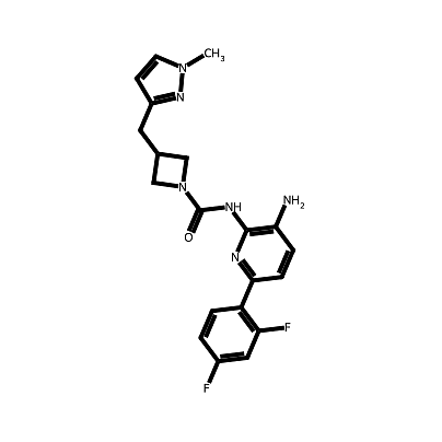 Cn1ccc(CC2CN(C(=O)Nc3nc(-c4ccc(F)cc4F)ccc3N)C2)n1